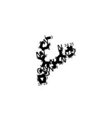 CCN1CCC(n2cc(-c3cn(S(=O)(=O)c4ccccc4)c4ncc(-c5cnc(N6CCOC(C)(C)C6)c(C#N)c5)nc34)cn2)CC1